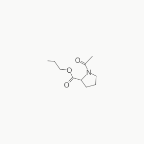 CCCOC(=O)C1CCCN1C(C)=O